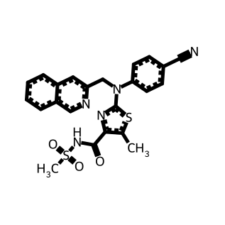 Cc1sc(N(Cc2cc3ccccc3cn2)c2ccc(C#N)cc2)nc1C(=O)NS(C)(=O)=O